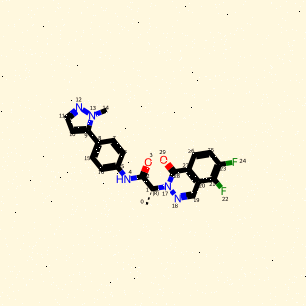 C[C@H](C(=O)Nc1ccc(-c2ccnn2C)cc1)n1ncc2c(F)c(F)ccc2c1=O